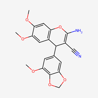 COc1cc2c(cc1OC)C(c1cc(OC)c3c(c1)OCO3)C(C#N)=C(N)O2